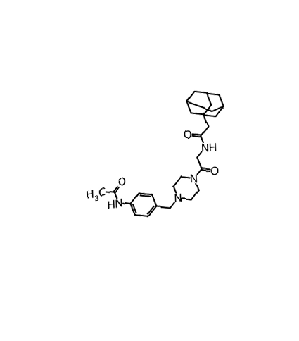 CC(=O)Nc1ccc(CN2CCN(C(=O)CNC(=O)CC34CC5CC(CC(C5)C3)C4)CC2)cc1